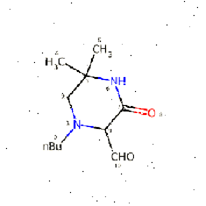 CCCCN1CC(C)(C)NC(=O)C1C=O